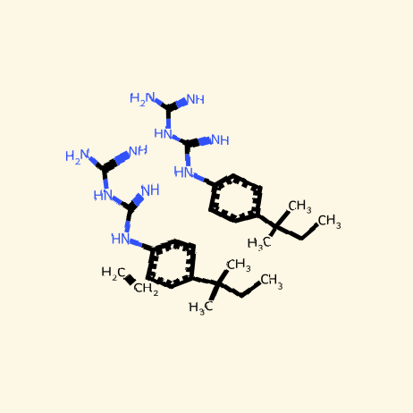 C=C.CCC(C)(C)c1ccc(NC(=N)NC(=N)N)cc1.CCC(C)(C)c1ccc(NC(=N)NC(=N)N)cc1